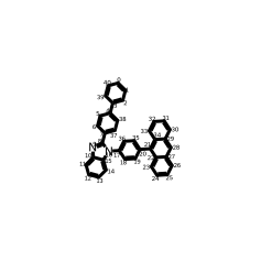 c1ccc(-c2ccc(-c3nc4ccccc4n3-c3ccc(-c4c5ccccc5cc5ccccc45)cc3)cc2)cc1